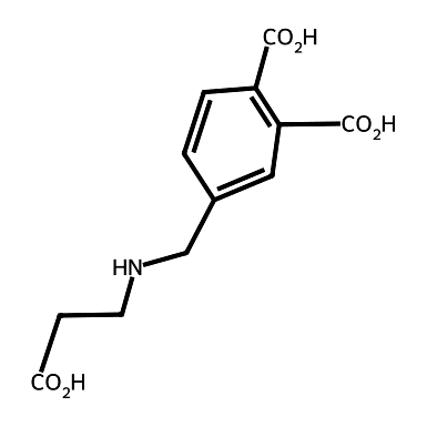 O=C(O)CCNCc1ccc(C(=O)O)c(C(=O)O)c1